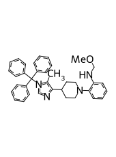 COCNc1ccccc1N1CCC(c2ncn(C(c3ccccc3)(c3ccccc3)c3ccccc3)c2C)CC1